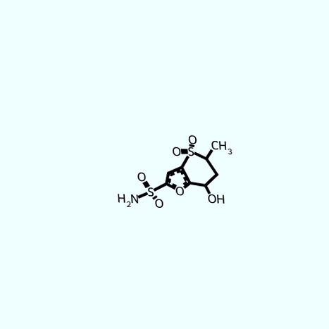 CC1CC(O)c2oc(S(N)(=O)=O)cc2S1(=O)=O